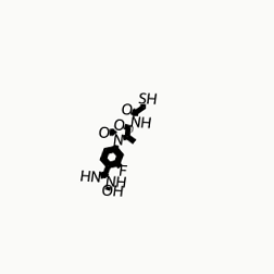 CC1[C@@H](NC(=O)CS)OC(=O)N1c1ccc(C(=N)NO)c(F)c1